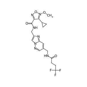 CO[n+]1onc(C(=O)NCc2cn3ncc(CNC(=O)CCC(F)(F)F)cc3n2)c1C1CC1